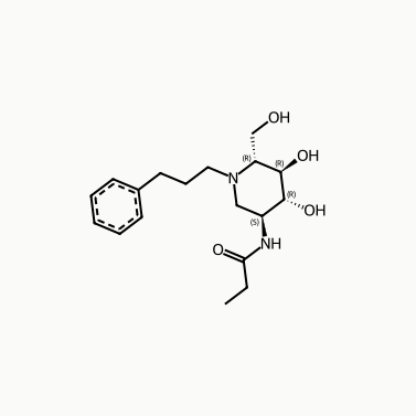 CCC(=O)N[C@H]1CN(CCCc2ccccc2)[C@H](CO)[C@@H](O)[C@@H]1O